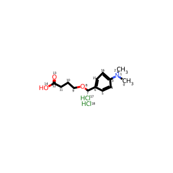 CN(C)c1ccc(COCCCC(=O)O)cc1.Cl.Cl